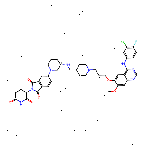 COc1cc2ncnc(Nc3ccc(F)c(Cl)c3)c2cc1OCCCN1CCC(CN[C@H]2CCCN(c3ccc4c(c3)C(=O)N(C3CCC(=O)NC3=O)C4=O)C2)CC1